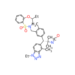 CCC1CN(Cc2cc([C@@H](c3ccc4c(nnn4CC)c3C)C(C)(C)N=C=O)ccc2C)S(=O)(=O)c2ccccc2O1